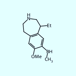 CBc1cc2c(cc1OC)CCNCC2CC